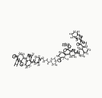 Cc1c(O[C@H]2CC[C@H](CCCCN3CCN(c4cccc5c(C6CCC(=O)NC6=O)nn(C)c45)C[C@H]3C)CC2)cccc1-c1ccc(N2CCc3cccc(C(=O)Nc4nc5ccccc5s4)c3C2)nc1C(=O)OC(C)(C)C